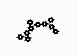 c1ccc(-c2ccc(N(c3ccccc3)c3ccc(-c4ccc(-n5c6ccccc6c6cc(-c7ccc8c(c7)c7ccccc7n8-c7ccccc7)ccc65)cc4)cc3)cc2)cc1